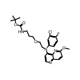 COc1ccc2nccc(N(CCOCCCNC(=O)OC(C)(C)C)c3ccc(F)c(Cl)c3)c2n1